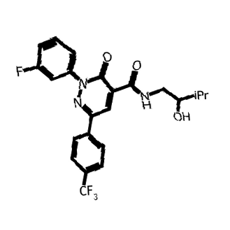 CC(C)C(O)CNC(=O)c1cc(-c2ccc(C(F)(F)F)cc2)nn(-c2cccc(F)c2)c1=O